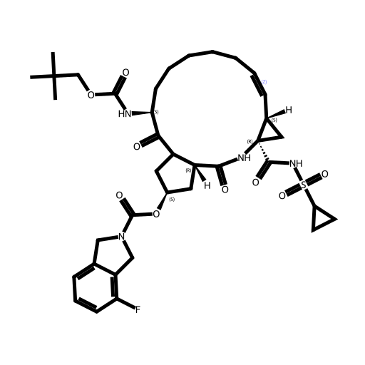 CC(C)(C)COC(=O)N[C@H]1CCCCC/C=C\[C@@H]2C[C@@]2(C(=O)NS(=O)(=O)C2CC2)NC(=O)[C@@H]2C[C@@H](OC(=O)N3Cc4cccc(F)c4C3)CC2C1=O